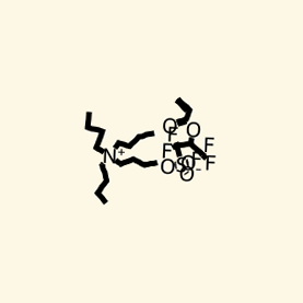 C=CC(=O)OC(C(F)(F)F)C(F)(F)S(=O)(=O)[O-].CCCC[N+](CCCC)(CCCC)CCCC